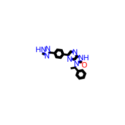 CC(c1ccccc1)n1c(=O)[nH]c2ncc(-c3ccc(-c4nc[nH]n4)cc3)nc21